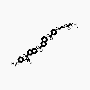 C=CC(=O)OCCCOc1ccc(C(=O)Oc2ccc3cc(C(=O)Oc4ccc5cc(C(=O)Oc6ccc(C)cc6C)ccc5c4)ccc3c2)cc1